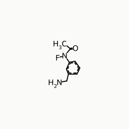 CC(=O)N(F)c1cccc(CN)c1